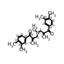 C=C(CN(C)CC(=C)C(=O)c1ccc(C)c(C)c1)C(=O)c1ccc(C)c(C)c1